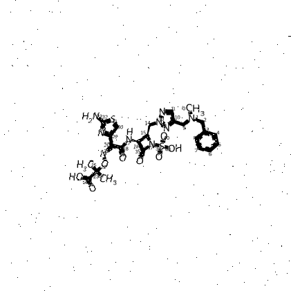 CN(Cc1ccccc1)Cc1cnn(C[C@@H]2[C@H](NC(=O)/C(=N\OC(C)(C)C(=O)O)c3csc(N)n3)C(=O)N2S(=O)(=O)O)n1